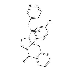 O=C(Cc1cccnc1)N1CCN2C(=O)c3cccnc3CC12c1ccc(Cl)cc1